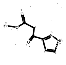 CC(C)OC(=O)CC(=O)c1cc[nH]n1